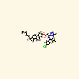 Cc1sc2c(c1C)C(c1ccc(Cl)cc1)=N[C@@H](CC(=O)O[C@H]1CC[C@@]3(C)C(=CC[C@H]4C5CCC([C@H](C)CCCC(C)C)[C@@]5(C)CCC43)C1)c1nnc(C)n1-2